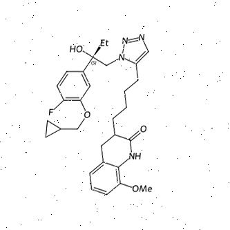 CC[C@@](O)(Cn1nncc1CCCCC1Cc2cccc(OC)c2NC1=O)c1ccc(F)c(OCC2CC2)c1